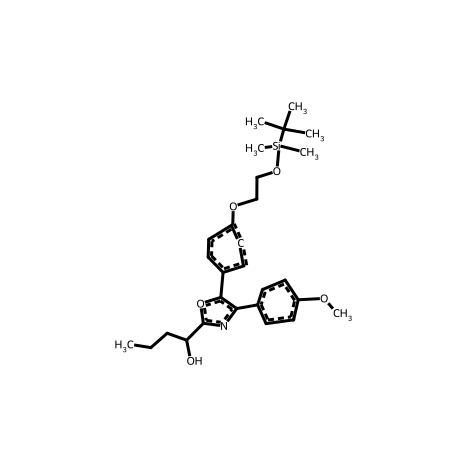 CCCC(O)c1nc(-c2ccc(OC)cc2)c(-c2ccc(OCCO[Si](C)(C)C(C)(C)C)cc2)o1